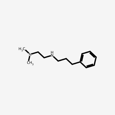 CN(C)CCNCCCc1ccccc1